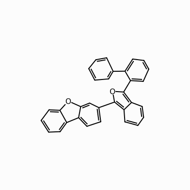 c1ccc(-c2ccccc2-c2oc(-c3ccc4c(c3)oc3ccccc34)c3ccccc23)cc1